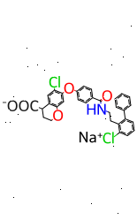 O=C(NCCc1c(Cl)cccc1-c1ccccc1)c1ccc(Oc2cc3c(cc2Cl)C(C(=O)[O-])CCO3)cc1.[Na+]